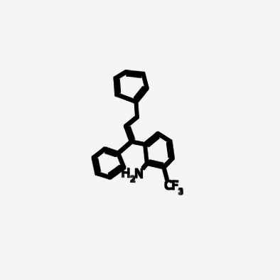 Nc1c(/C(=C\Cc2ccccc2)c2ccccc2)cccc1C(F)(F)F